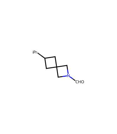 CC(C)C1CC2(C1)CN(C=O)C2